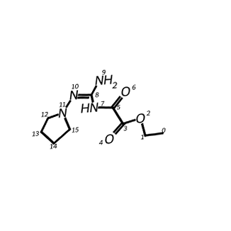 CCOC(=O)C(=O)NC(N)=NN1CCCC1